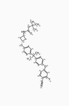 CC(C)(C)OC(=O)N[C@H]1C[C@H](Oc2ccc(C(C)(C)c3ccc(Oc4cnc(C#N)c(F)c4)cc3)cc2)C1